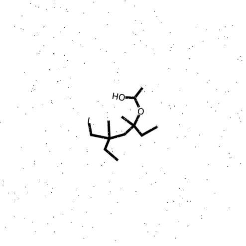 CCC(C)(CI)CC(C)(CC)OC(C)O